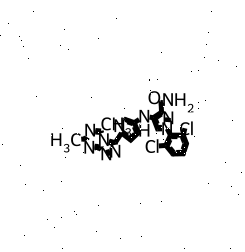 Cc1nc(C)n2c(-c3ccc(Nc4cn(-c5c(Cl)cccc5Cl)nc4C(N)=O)cn3)nnc2n1